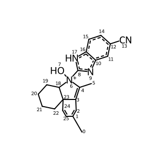 CC1=CC2=C(C)[N+](O)(c3nc4cc(C#N)ccc4[nH]3)C3CCCCC23C=C1